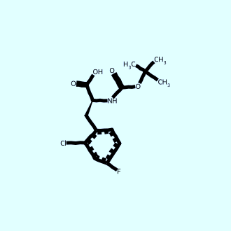 CC(C)(C)OC(=O)N[C@@H](Cc1ccc(F)cc1Cl)C(=O)O